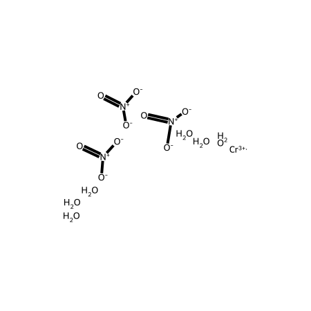 O.O.O.O.O.O.O=[N+]([O-])[O-].O=[N+]([O-])[O-].O=[N+]([O-])[O-].[Cr+3]